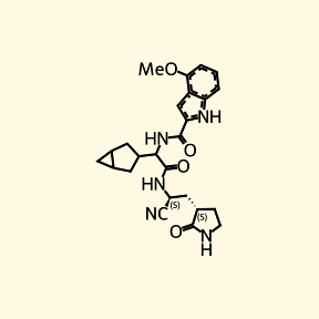 COc1cccc2[nH]c(C(=O)NC(C(=O)N[C@H](C#N)C[C@@H]3CCNC3=O)C3CC4CC4C3)cc12